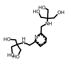 OCC(CO)(CO)NCc1cccc(CNC(CO)(CO)CO)n1